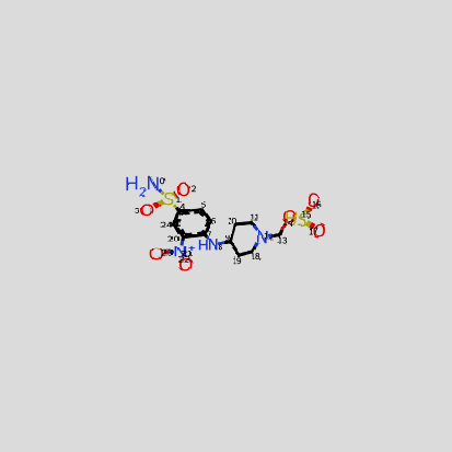 NS(=O)(=O)c1ccc(NC2CCN(CO[SH](=O)=O)CC2)c([N+](=O)[O-])c1